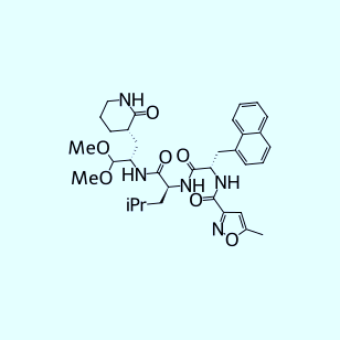 COC(OC)[C@H](C[C@@H]1CCCNC1=O)NC(=O)[C@H](CC(C)C)NC(=O)[C@H](Cc1cccc2ccccc12)NC(=O)c1cc(C)on1